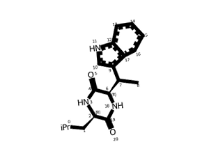 CC(C)C[C@H]1NC(=O)[C@@H](C(C)c2c[nH]c3ccccc23)NC1=O